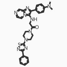 CN(C)c1ccc(-c2nc3cnccn3c2NCC(=O)N2CCN(c3nc(-c4ccccc4)ns3)CC2)cc1